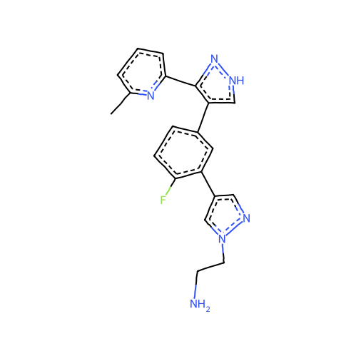 Cc1cccc(-c2n[nH]cc2-c2ccc(F)c(-c3cnn(CCN)c3)c2)n1